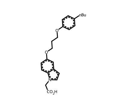 CCCCc1ccc(OCCCOc2ccc3c(ccn3CC(=O)O)c2)cc1